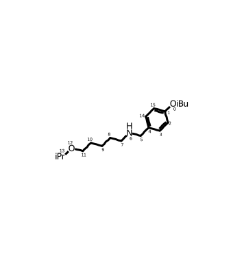 CC(C)COc1ccc(CNCCCCCOC(C)C)cc1